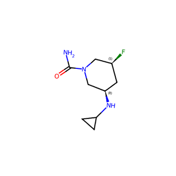 NC(=O)N1C[C@@H](F)C[C@@H](NC2CC2)C1